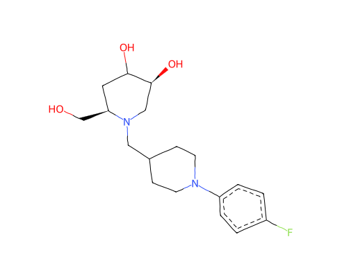 OC[C@H]1CC(O)[C@@H](O)CN1CC1CCN(c2ccc(F)cc2)CC1